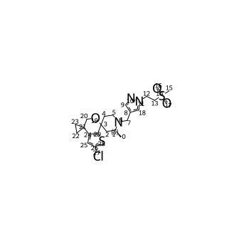 C[C@H]1CC2(CCN1Cc1cnn(CCS(C)(=O)=O)c1)OCC1(CC1)c1cc(Cl)sc12